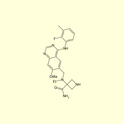 CCN(Cc1cc2c(Nc3cccc(C)c3F)ncnc2cc1OC)C1(C(N)=O)CNC1